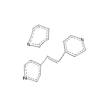 C(=Cc1ccncc1)c1ccncc1.c1ccncc1